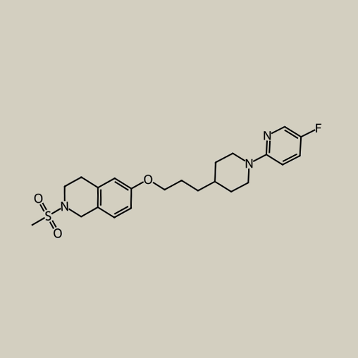 CS(=O)(=O)N1CCc2cc(OCCCC3CCN(c4ccc(F)cn4)CC3)ccc2C1